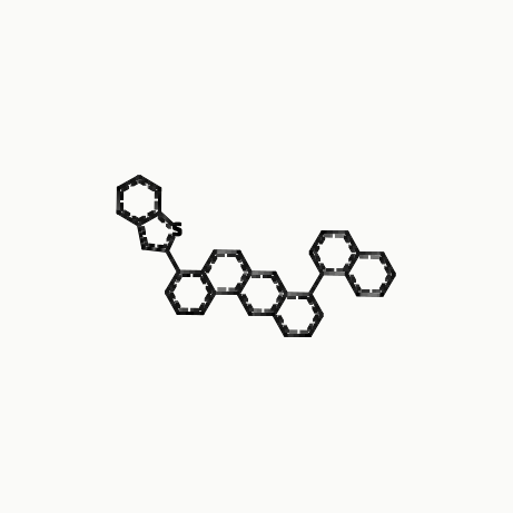 c1ccc2sc(-c3cccc4c3ccc3cc5c(-c6cccc7ccccc67)cccc5cc34)cc2c1